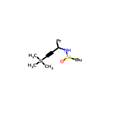 CC(C)C(C#C[Si](C)(C)C)N[S+]([O-])C(C)(C)C